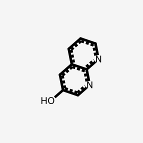 Oc1cnc2ncccc2c1